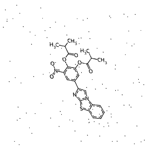 CC(C)C(=O)Oc1cc(-c2cn3c(n2)sc2ccccc23)cc([N+](=O)[O-])c1OC(=O)C(C)C